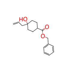 C=CCC1(O)CCC(C(=O)OCc2ccccc2)CC1